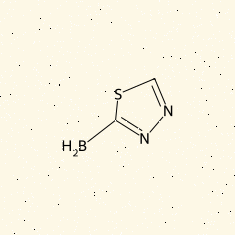 Bc1nncs1